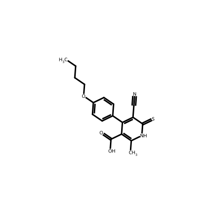 CCCCOc1ccc(-c2c(C(=O)O)c(C)[nH]c(=S)c2C#N)cc1